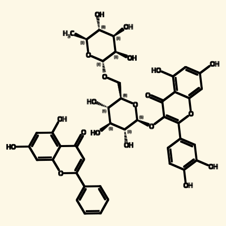 C[C@@H]1O[C@@H](OC[C@H]2O[C@@H](Oc3c(-c4ccc(O)c(O)c4)oc4cc(O)cc(O)c4c3=O)[C@H](O)[C@@H](O)[C@@H]2O)[C@H](O)[C@H](O)[C@H]1O.O=c1cc(-c2ccccc2)oc2cc(O)cc(O)c12